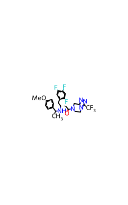 COc1ccc(C(C)N[C@@H](CC(=O)N2CCn3c(nnc3C(F)(F)F)C2)Cc2cc(F)c(F)cc2F)cc1